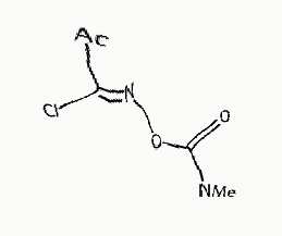 CNC(=O)ON=C(Cl)C(C)=O